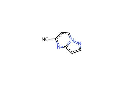 N#Cc1ccn2nccc2n1